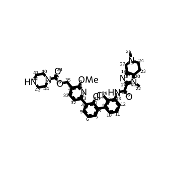 COc1nc(-c2cccc(-c3cccc(NC(=O)c4nc5c(n4C)CCN(C)C5)c3Cl)c2Cl)ccc1COC(=O)N1CCNCC1